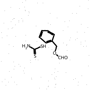 NC(=S)S.O=COCc1ccccc1